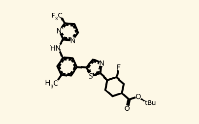 Cc1cc(Nc2nccc(C(F)(F)F)n2)cc(-c2cnc(C3CCC(C(=O)OC(C)(C)C)CC3F)s2)c1